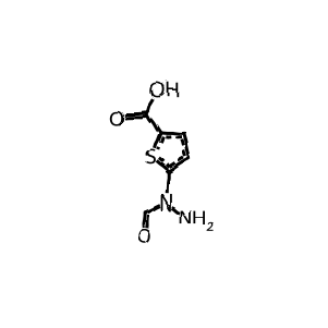 NN(C=O)c1ccc(C(=O)O)s1